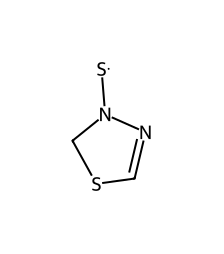 [S]N1CSC=N1